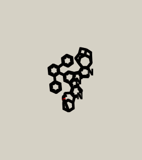 c1ccc(-c2cccc(-c3ccccc3)c2-c2cc3c4c5c(ncc4n4c6cnc7c(c6c(c2)c34)C2CC3CC4CC7CC43C2)C2CC3CC(C2)CC5C3)cc1